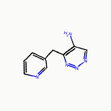 Nc1cnnnc1Cc1cccnc1